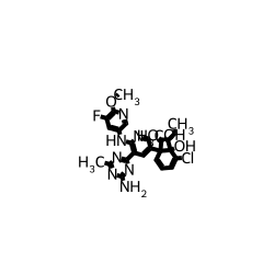 CCC(C)C1(O)C(Cl)=CC=CC1(C(=O)O)c1cnc(Nc2cnc(OC)c(F)c2)c(-c2nc(C)nc(N)n2)c1